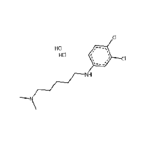 CN(C)CCCCCNc1ccc(Cl)c(Cl)c1.Cl.Cl